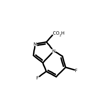 O=C(O)c1ncc2c(F)cc(F)cn12